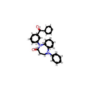 O=C(c1ccccc1)c1cccc(N2C(=O)CCN(c3ccccc3)c3ccccc32)c1